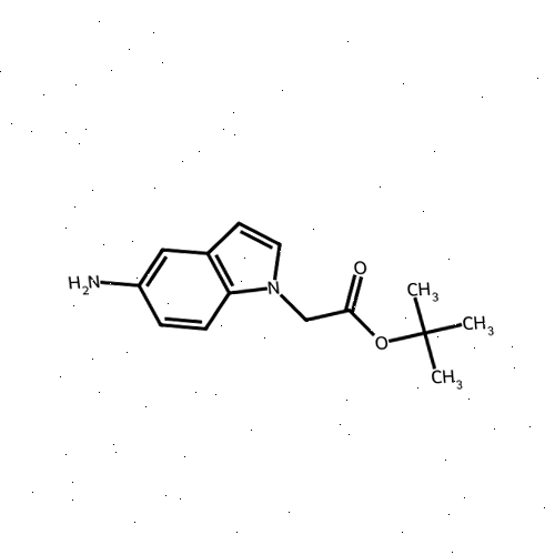 CC(C)(C)OC(=O)Cn1ccc2cc(N)ccc21